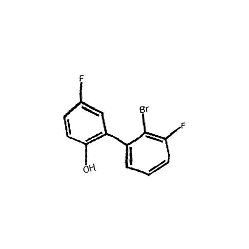 Oc1ccc(F)cc1-c1cccc(F)c1Br